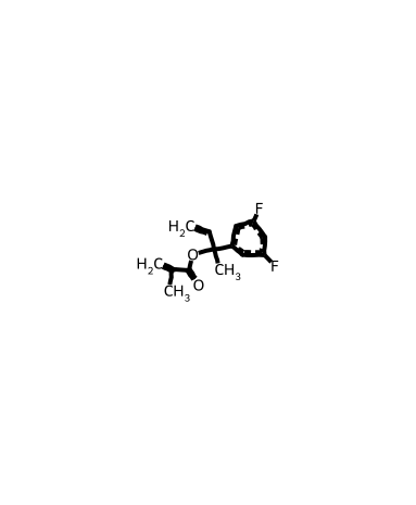 C=CC(C)(OC(=O)C(=C)C)c1cc(F)cc(F)c1